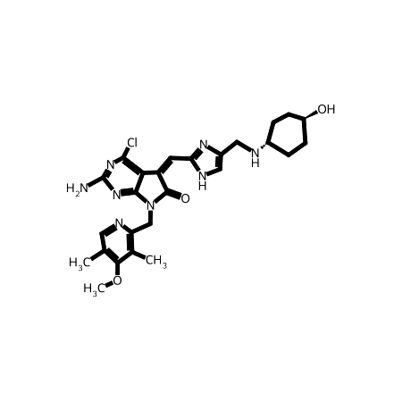 COc1c(C)cnc(CN2C(=O)/C(=C\c3nc(CN[C@H]4CC[C@H](O)CC4)c[nH]3)c3c(Cl)nc(N)nc32)c1C